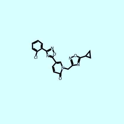 O=c1ccc(-c2nc(-c3ccccc3Cl)no2)cn1Cc1noc(C2CC2)n1